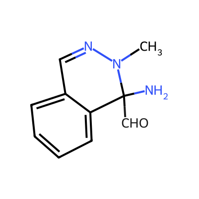 CN1N=Cc2ccccc2C1(N)C=O